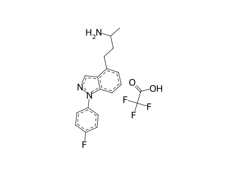 CC(N)CCc1cccc2c1cnn2-c1ccc(F)cc1.O=C(O)C(F)(F)F